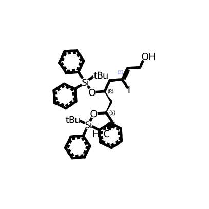 C=C[C@H](C[C@H](C/C(I)=C/CO)O[Si](c1ccccc1)(c1ccccc1)C(C)(C)C)O[Si](c1ccccc1)(c1ccccc1)C(C)(C)C